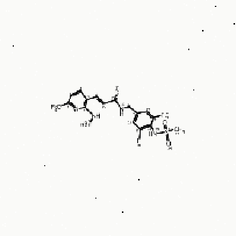 CCCCNc1nc(C(F)(F)F)ccc1/C=C/C(=O)NCc1cc(F)c(NS(C)(=O)=O)c(F)c1